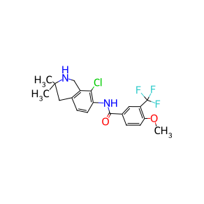 COc1ccc(C(=O)Nc2ccc3c(c2Cl)CNC(C)(C)C3)cc1C(F)(F)F